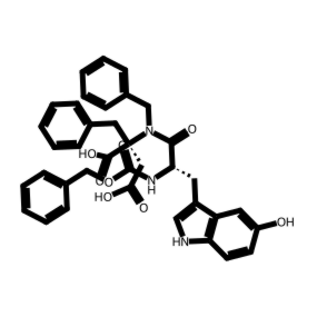 O=C(O)C[C@@](Cc1ccccc1)(C(=O)O)N(Cc1ccccc1)C(=O)[C@H](Cc1c[nH]c2ccc(O)cc12)NC(=O)OCc1ccccc1